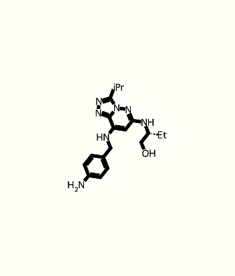 CC[C@H](CO)Nc1cc(NCc2ccc(N)cc2)c2nnc(C(C)C)n2n1